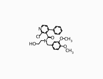 COc1ccc(CN(CCO)C(=O)c2c(-c3ccccc3)ccnc2Cl)cc1OC